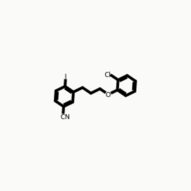 N#Cc1ccc(I)c(CCCOc2ccccc2Cl)c1